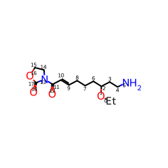 CCOC(CCN)CCC/C=C/C(=O)N1CCOC1=O